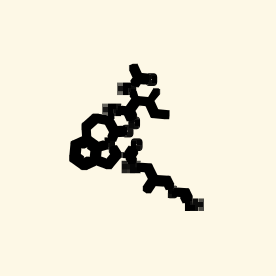 CC[C@H](C)[C@H](NC(C)=O)C(=O)N[C@H]1CCc2cccc3c2N(C1=O)[C@H](C(=O)NC/C(C)=C/SC=N)C3